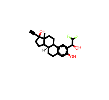 C#CC1(O)CCC2[C@@H]3CCc4cc(O)c(C(O)C(F)F)cc4C3CCC21C